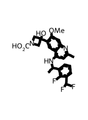 COc1cc2nc(C)cc(NC(C)c3cccc(C(F)F)c3F)c2cc1C1(O)CN(C(=O)O)C1